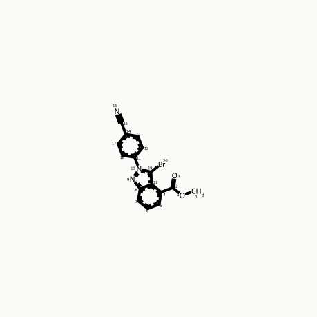 COC(=O)c1cccc2nn(-c3ccc(C#N)cc3)c(Br)c12